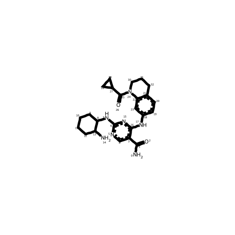 NC(=O)c1cnc(NC2CCCCC2N)nc1Nc1ccc2c(c1)N(C(=O)C1CC1)CCC2